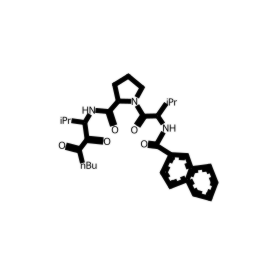 CCCCC(=O)C(=O)C(NC(=O)C1CCCN1C(=O)C(NC(=O)c1ccc2ccccc2c1)C(C)C)C(C)C